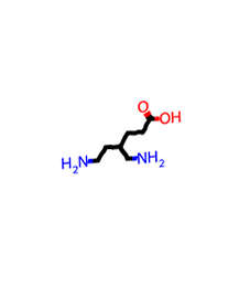 NCCC(CN)CCC(=O)O